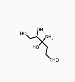 N[C@](O)(CCC=O)[C@H](O)CO